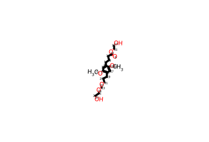 COc1cc(CCCC(=O)OCCO)c(OC)cc1CCCOCOCCO